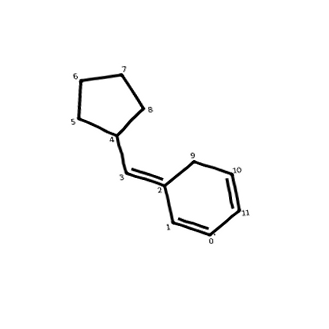 [C]1=CC(=CC2CCCC2)CC=C1